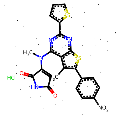 Cc1c(-c2ccc([N+](=O)[O-])cc2)sc2nc(-c3cccs3)nc(N(C)C3=CC(=O)NC3=O)c12.Cl